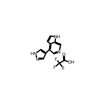 O=C(O)C(F)(F)F.c1cc2c(-c3cn[nH]c3)cncc2[nH]1